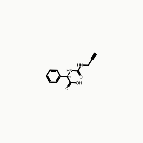 C#CCNC(=O)N[C@@H](C(=O)O)c1ccccc1